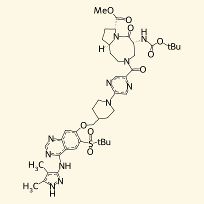 COC(=O)[C@H]1CC[C@@H]2CCN(C(=O)c3cnc(N4CCC(COc5cc6ncnc(Nc7n[nH]c(C)c7C)c6cc5S(=O)(=O)C(C)(C)C)CC4)cn3)C[C@@H](NC(=O)OC(C)(C)C)C(=O)N21